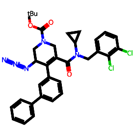 CC(C)(C)OC(=O)N1CC(C(=O)N(Cc2cccc(Cl)c2Cl)C2CC2)=C(c2cccc(-c3ccccc3)c2)C(N=[N+]=[N-])C1